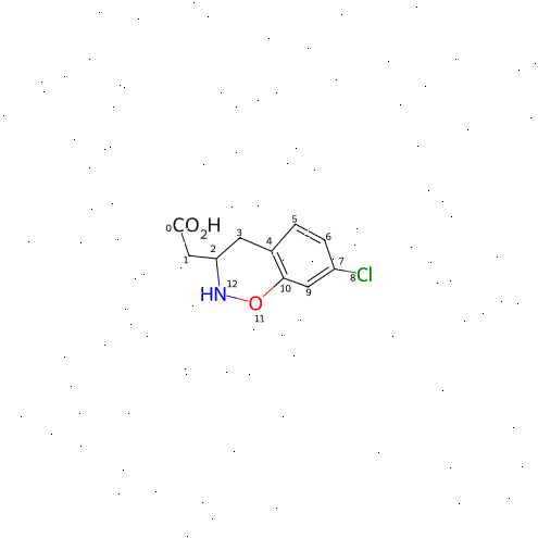 O=C(O)CC1Cc2ccc(Cl)cc2ON1